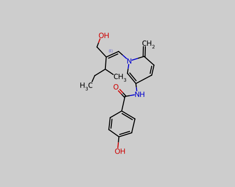 C=C1C=CC(NC(=O)c2ccc(O)cc2)=CN1/C=C(/CO)C(C)CC